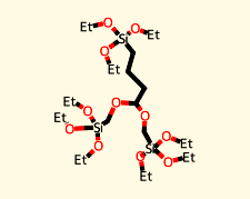 CCO[Si](CCCC(OC[Si](OCC)(OCC)OCC)OC[Si](OCC)(OCC)OCC)(OCC)OCC